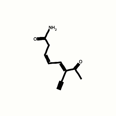 C#C/C(=C\C=C/CC(N)=O)C(C)=O